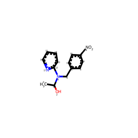 CC(O)N(Cc1ccc([N+](=O)[O-])cc1)c1ccccn1